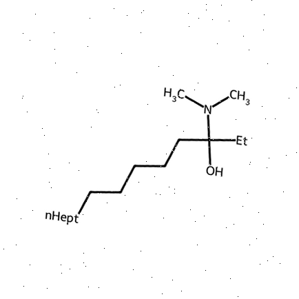 [CH2]CC(O)(CCCCCCCCCCCC)N(C)C